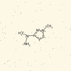 CN(N)c1ccn(C)n1